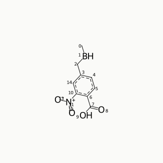 CBCc1ccc(C(=O)O)c([N+](=O)[O-])c1